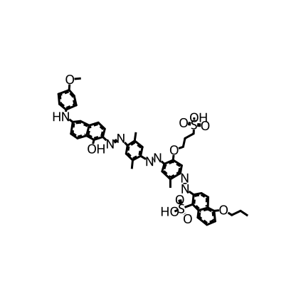 CCCOc1cccc2c(S(=O)(=O)O)c(N=Nc3cc(OCCCS(=O)(=O)O)c(N=Nc4cc(C)c(N=Nc5ccc6cc(Nc7ccc(OC)cc7)ccc6c5O)cc4C)cc3C)ccc12